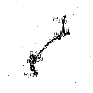 Cc1ncsc1-c1ccc(CNC(=O)[C@@H]2C[C@@H](O)CN2C(=O)[C@@H](NC(=O)COCCCOCCCCOCCCOc2cccc(Nc3ncc(C4CC4)c(NCCCN(C)C(=O)C4CCC4)n3)c2)C(C)(C)C)cc1